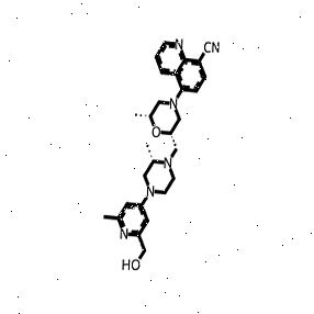 Cc1cc(N2CCN(C[C@H]3CN(c4ccc(C#N)c5ncccc45)C[C@@H](C)O3)[C@@H](C)C2)cc(CO)n1